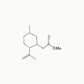 C=C(C)C1CCC(C)CC1CC(=O)OC